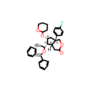 CC(C)(C)C(O[SiH](c1ccccc1)c1ccccc1)[C@H]1[C@H]2CC(=O)OC[C@@]2(c2ccc(F)cc2)C[C@H]1OC1CCCCO1